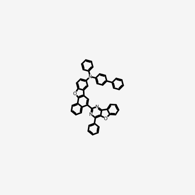 c1ccc(-c2ccc(N(c3ccccc3)c3ccc4oc5c6ccccc6c(-c6nc(-c7ccccc7)c7oc8ccccc8c7n6)cc5c4c3)cc2)cc1